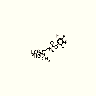 CO[Si](O)(CCCN(F)C(=O)Oc1cc(F)c(F)c(F)c1F)OC